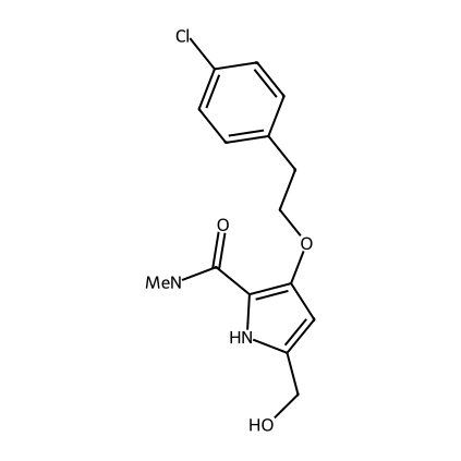 CNC(=O)c1[nH]c(CO)cc1OCCc1ccc(Cl)cc1